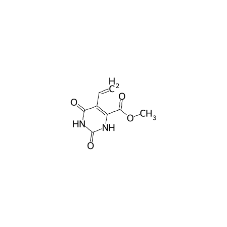 C=Cc1c(C(=O)OC)[nH]c(=O)[nH]c1=O